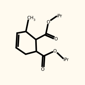 CC(C)OC(=O)C1CC=CC(C)C1C(=O)OC(C)C